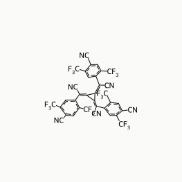 N#CC(=C1C(=C(C#N)c2cc(C(F)(F)F)c(C#N)cc2C(F)(F)F)C1=C(C#N)c1cc(C(F)(F)F)c(C#N)cc1C(F)(F)F)c1cc(C(F)(F)F)c(C#N)cc1C(F)(F)F